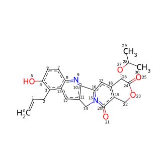 C=CCc1c(O)ccc2nc3c(cc12)Cn1c-3cc2c(c1=O)COC(=O)[C@H]2OC(C)C